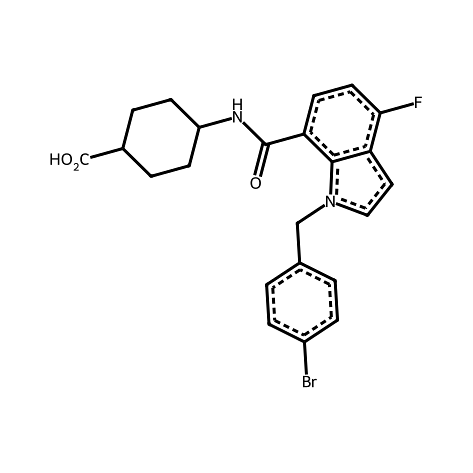 O=C(NC1CCC(C(=O)O)CC1)c1ccc(F)c2ccn(Cc3ccc(Br)cc3)c12